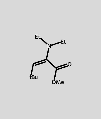 CCN(CC)C(=CC(C)(C)C)C(=O)OC